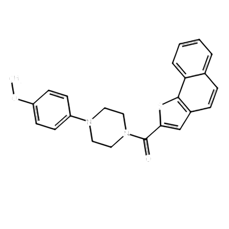 COc1ccc(N2CCN(C(=O)c3cc4ccc5ccccc5c4s3)CC2)cc1